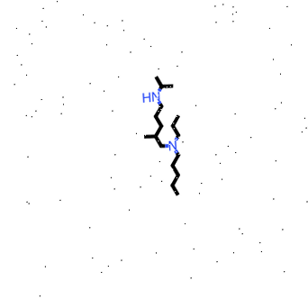 CCCCCN(CCC)CC(C)CCCNC(C)C